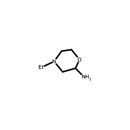 CCN1CCOC(N)C1